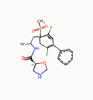 CS(=O)(=O)C1(CC(C#N)NC(=O)[C@@H]2CNCO2)CC(F)=C(c2ccccc2)C=C1F